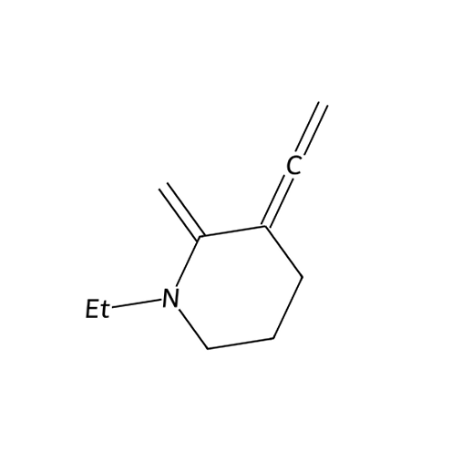 C=C=C1CCCN(CC)C1=C